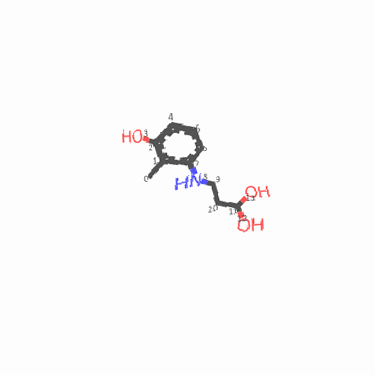 Cc1c(O)cccc1NCCC(O)O